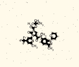 Cc1cc(C(F)(F)F)cc(N2C(=O)N(C(=O)OC(C)(C)C)CC2C(=O)N(C)c2ccc3c(C)nn(C4CCCCO4)c3c2)n1